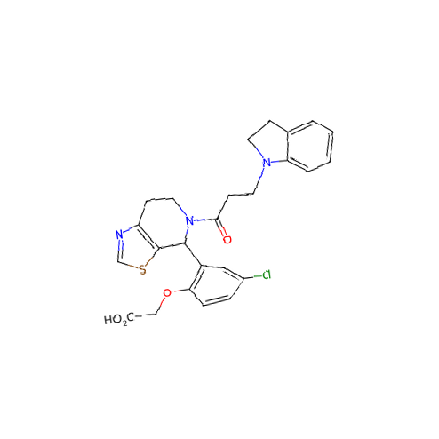 O=C(O)COc1ccc(Cl)cc1C1c2scnc2CCN1C(=O)CCN1CCc2ccccc21